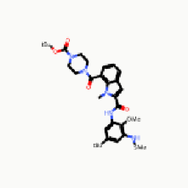 COc1c(NSC)cc(C(C)(C)C)cc1NC(=O)c1cc2cccc(C(=O)N3CCN(C(=O)OC(C)(C)C)CC3)c2n1C